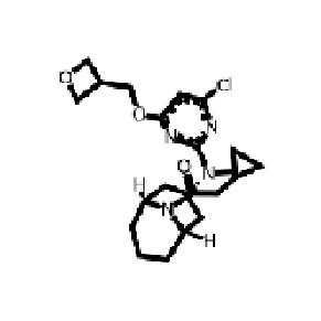 CN(c1nc(Cl)cc(OCC2COC2)n1)[C@H]1C[C@H]2CCC[C@@H](C1)N2C(=O)CC1CC1